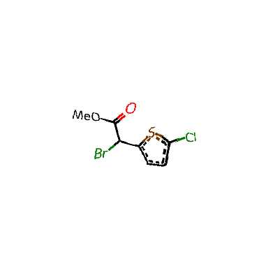 COC(=O)C(Br)c1ccc(Cl)s1